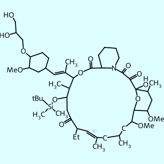 CCC1/C=C(\C)CC(C)CC(OC)C2OC(O)(C(=O)C(=O)N3CCCCC3C(=O)OC(C(C)=CC3CCC(OCC(O)CO)C(OC)C3)C(C)C(O[Si](C)(C)C(C)(C)C)CC1=O)C(C)CC2OC